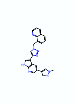 Cn1cc(-c2cnc3[nH]cc(-c4cn(Cc5cccc6cccnc56)nn4)c3c2)cn1